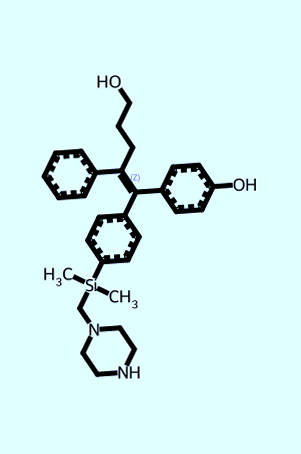 C[Si](C)(CN1CCNCC1)c1ccc(/C(=C(/CCCO)c2ccccc2)c2ccc(O)cc2)cc1